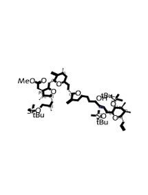 C=CC[C@@H]1O[C@@H]([C@H](/C=C/C(O)CCC2CC(=C)[C@H](CCC3C[C@@H](C)C(=C)[C@@H](CC4O[C@H](C[C@H](C)CO[Si](C)(C)C(C)(C)C)[C@H](C)[C@H]4CC(=O)OC)O3)O2)O[Si](C)(C)C(C)(C)C)[C@@H](O[Si](C)(C)C(C)(C)C)[C@@H](C)[C@H]1C